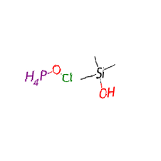 C[Si](C)(C)O.[PH4]OCl